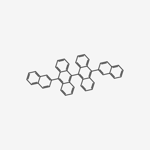 c1ccc2cc(-c3c4ccccc4c(-c4c5ccccc5c(-c5ccc6ccccc6c5)c5ccccc45)c4ccccc34)ccc2c1